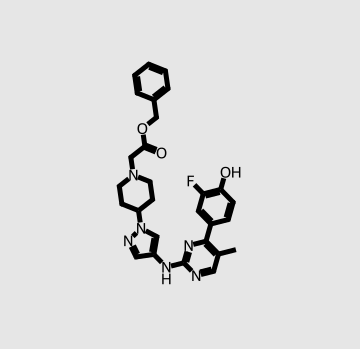 Cc1cnc(Nc2cnn(C3CCN(CC(=O)OCc4ccccc4)CC3)c2)nc1-c1ccc(O)c(F)c1